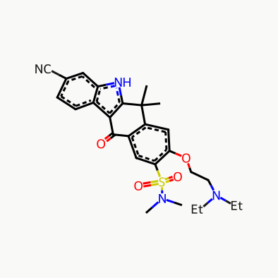 CCN(CC)CCOc1cc2c(cc1S(=O)(=O)N(C)C)C(=O)c1c([nH]c3cc(C#N)ccc13)C2(C)C